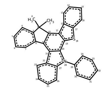 CC1(C)c2ccccc2-c2c1c1c3ccccc3sc1c1c2c2ccccc2n1-c1ccccc1